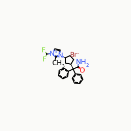 Cc1n([C@H]2CC[C@@H](C(C(N)=O)(c3ccccc3)c3ccccc3)C2)cc[n+]1C(F)F.[Br-]